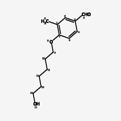 Cc1cc(C=O)ccc1OCCCCCCO